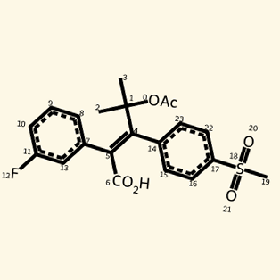 CC(=O)OC(C)(C)C(=C(C(=O)O)c1cccc(F)c1)c1ccc(S(C)(=O)=O)cc1